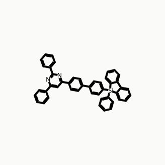 c1ccc(-c2cc(-c3ccc(-c4ccc([Si]5(c6ccccc6)c6ccccc6-c6ccccc65)cc4)cc3)nc(-c3ccccc3)n2)cc1